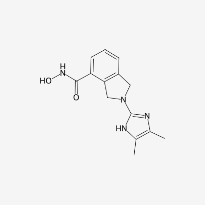 Cc1nc(N2Cc3cccc(C(=O)NO)c3C2)[nH]c1C